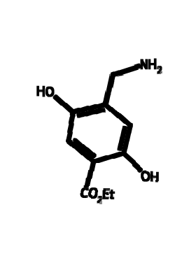 CCOC(=O)c1cc(O)c(CN)cc1O